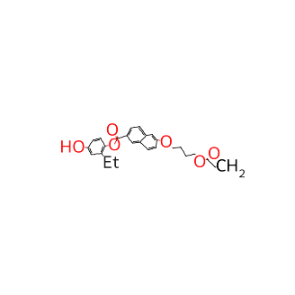 C=CC(=O)OCCCCOc1ccc2cc(C(=O)Oc3ccc(O)cc3CC)ccc2c1